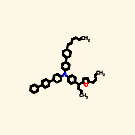 C=C/C=C\C=C\C1C=CC(c2ccc(N(C3=CC=C(c4ccc(-c5ccccc5)cc4)CC3)c3ccc(/C(=C/C=C)c4ccc(/C=C\C=C)o4)cc3)cc2)=CC1